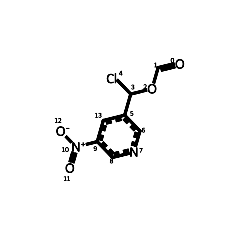 O=COC(Cl)c1cncc([N+](=O)[O-])c1